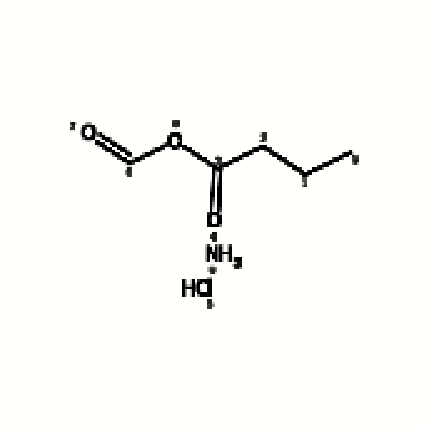 CCCC(=O)OC=O.Cl.N